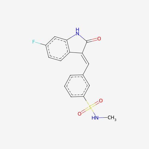 CNS(=O)(=O)c1cccc(/C=C2/C(=O)Nc3cc(F)ccc32)c1